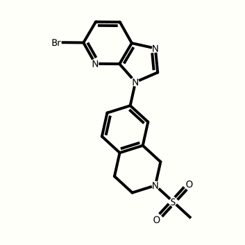 CS(=O)(=O)N1CCc2ccc(-n3cnc4ccc(Br)nc43)cc2C1